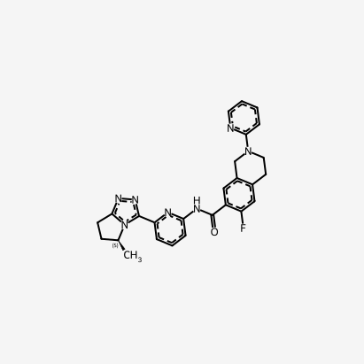 C[C@H]1CCc2nnc(-c3cccc(NC(=O)c4cc5c(cc4F)CCN(c4ccccn4)C5)n3)n21